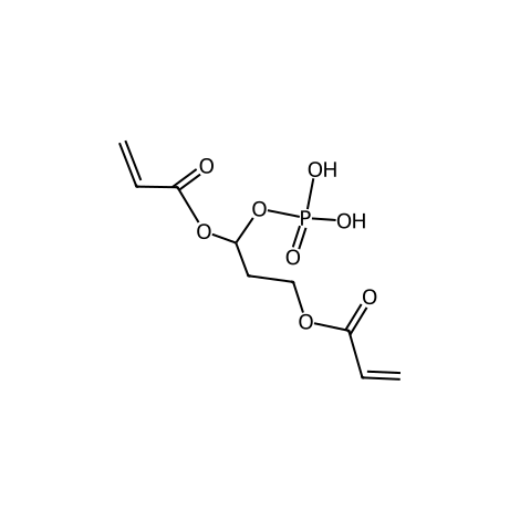 C=CC(=O)OCCC(OC(=O)C=C)OP(=O)(O)O